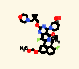 C#Cc1c(F)ccc2cc(OCOC)cc(-c3nc(OC)c4c(N5CCC[C@@H](O)C5)nc(OCC5(CN6CCOCC6)CC5)nc4c3F)c12